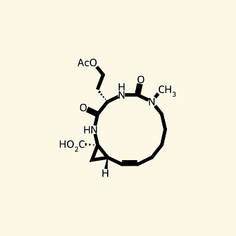 CC(=O)OCC[C@@H]1NC(=O)N(C)CCCC/C=C\[C@@H]2C[C@@]2(C(=O)O)NC1=O